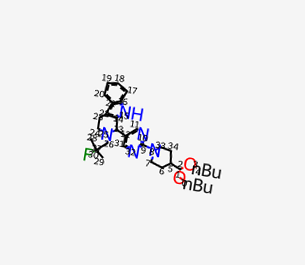 CCCCOC(OCCCC)C1CCN(c2ncc(C3c4[nH]c5ccccc5c4CCN3CC(C)(C)F)cn2)CC1